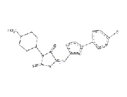 O=C(O)C1CCC(N2C(=O)/C(=C\c3ccc(-c4ccc(Cl)cc4)o3)SC2=S)CC1